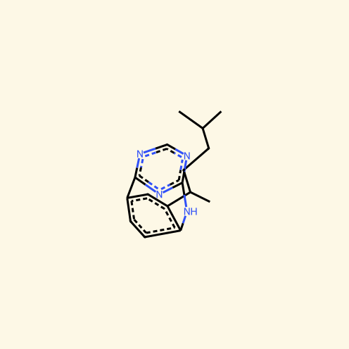 CC(C)CCC(C)c1cc2ccc1Nc1ncnc-2n1